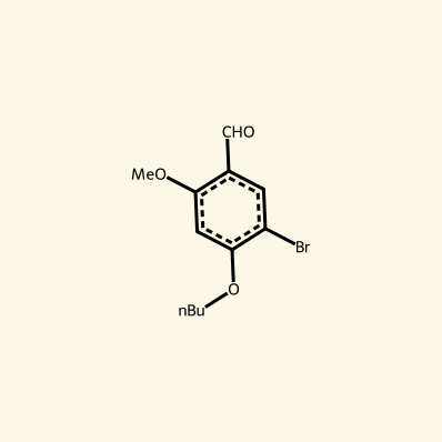 CCCCOc1cc(OC)c(C=O)cc1Br